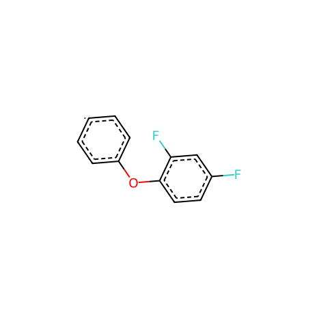 Fc1ccc(Oc2cc[c]cc2)c(F)c1